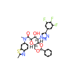 Cc1nc2ccc(N(C)C(=O)[C@@H]3O[C@@H]4CO[C@H](c5ccccc5)O[C@@H]4[C@H](n4cc(-c5cc(F)c(F)c(F)c5)nn4)[C@H]3O)cc2s1